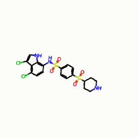 O=S(=O)(Nc1ccc(Cl)c2c(Cl)c[nH]c12)c1ccc(S(=O)(=O)C2CCNCC2)cc1